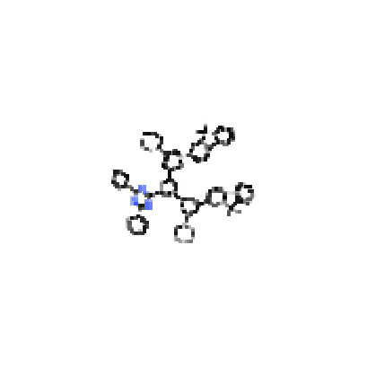 CC1(C)c2ccccc2-c2ccc(-c3cc(-c4cc(-c5cc(-c6ccc7c(c6)C(C)(C)c6ccccc6-7)cc(C6CCCCC6)c5)cc(-c5nc(-c6ccccc6)nc(-c6ccccc6)n5)c4)cc(C4CCCCC4)c3)cc21